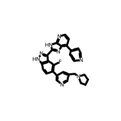 Fc1c(-c2cncc(CN3CCCC3)c2)ccc2[nH]nc(-c3nc4c(-c5ccncc5)ccnc4[nH]3)c12